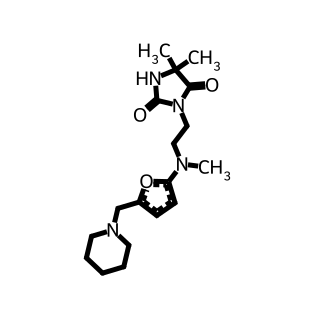 CN(CCN1C(=O)NC(C)(C)C1=O)c1ccc(CN2CCCCC2)o1